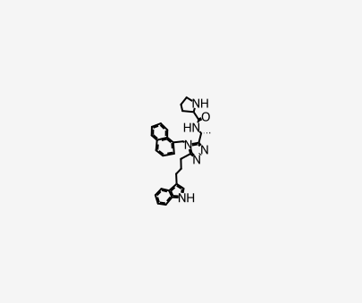 C[C@@H](NC(=O)C1CCCN1)c1nnc(CCCc2c[nH]c3ccccc23)n1Cc1cccc2ccccc12